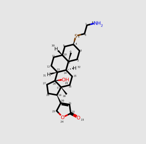 C[C@]12CC[C@H](SCCN)C[C@H]1CC[C@@H]1[C@@H]2CC[C@]2(C)[C@@H](C3=CC(=O)OC3)CC[C@]12O